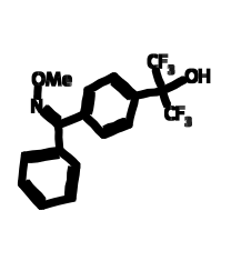 CON=C(c1ccccc1)c1ccc(C(O)(C(F)(F)F)C(F)(F)F)cc1